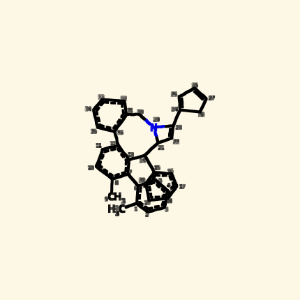 Cc1ccccc1-c1c(C)ccc2c1C(c1ccccc1)C1C=C(C3=CC=CC3)N1Cc1ccccc1-2